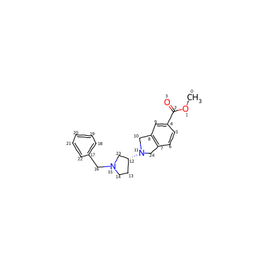 COC(=O)c1ccc2c(c1)CN([C@@H]1CCN(Cc3ccccc3)C1)C2